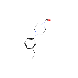 CCc1cccc(N2CCN(C=O)CC2)c1